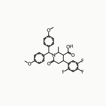 COc1ccc(C(c2ccc(OC)cc2)N2C(=O)CC(c3cc(F)c(F)cc3F)C(C(=O)O)C2C)cc1